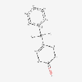 CC(C)(C1=CCC(=O)CC1)c1ccccc1